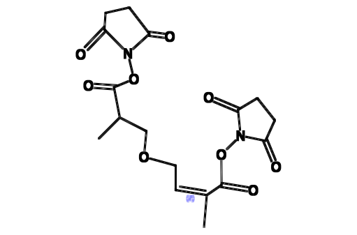 C/C(=C/COCC(C)C(=O)ON1C(=O)CCC1=O)C(=O)ON1C(=O)CCC1=O